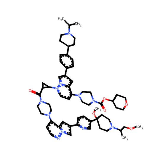 COCC(C)N1CCC(OC)(c2ccc(-c3cc4c(N5CCN(C(=O)C6CC6[n+]6ccc(N7CCN(C(=O)OC8CCOCC8)CC7)c7cc(-c8ccc(C9CCN(C(C)C)CC9)cc8)cn76)CC5)ccnn4c3)nc2)CC1